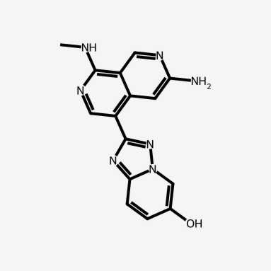 CNc1ncc(-c2nc3ccc(O)cn3n2)c2cc(N)ncc12